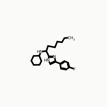 CCCCCCC(NC1CCCCC1)c1nc(-c2ccc(F)cc2)c[nH]1